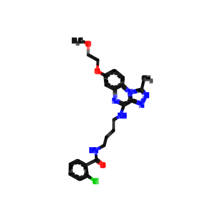 COCCOc1ccc2c(c1)nc(NCCCCNC(=O)c1ccccc1Cl)c1nnc(C)n12